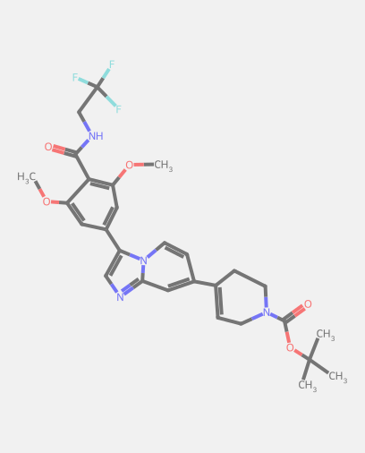 COc1cc(-c2cnc3cc(C4=CCN(C(=O)OC(C)(C)C)CC4)ccn23)cc(OC)c1C(=O)NCC(F)(F)F